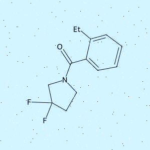 CCc1ccccc1C(=O)N1CCC(F)(F)C1